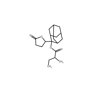 CCC(C)C(=O)OC1(C2CCC(=O)O2)C2CC3CC(C2)CC1C3